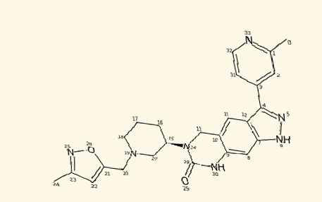 Cc1cc(-c2n[nH]c3cc4c(cc23)CN([C@@H]2CCCN(Cc3cc(C)no3)C2)C(=O)N4)ccn1